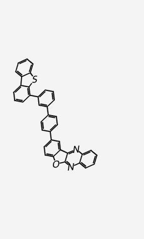 c1cc(-c2ccc(-c3ccc4oc5nc6ccccc6nc5c4c3)cc2)cc(-c2cccc3c2sc2ccccc23)c1